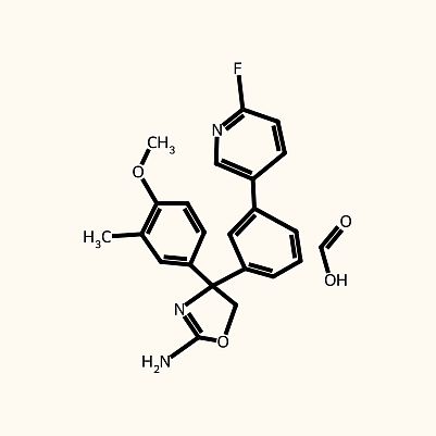 COc1ccc(C2(c3cccc(-c4ccc(F)nc4)c3)COC(N)=N2)cc1C.O=CO